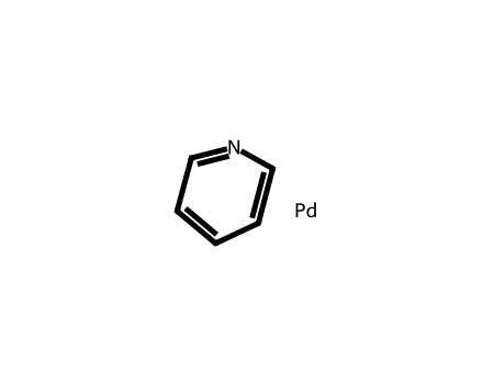 [Pd].c1ccncc1